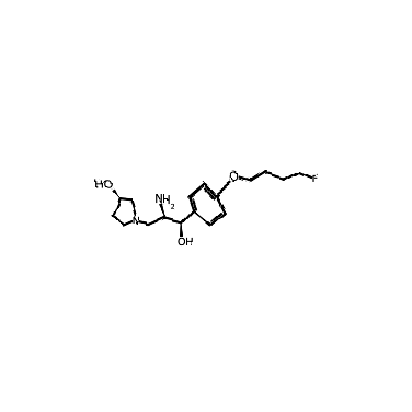 N[C@H](CN1CC[C@@H](O)C1)[C@H](O)c1ccc(OCCCCF)cc1